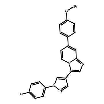 CC(C)Oc1ccc(-c2ccn3c(-c4cnn(-c5ccc(F)cc5)c4)cnc3c2)cc1